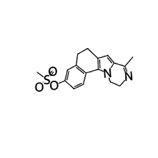 CC1=NCCn2c1cc1c2-c2ccc(OS(C)(=O)=O)cc2CC1